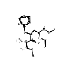 CCOC(CN(Cc1ccccc1)C(=O)[C@@H](N)[C@@H](C)CC)OCC